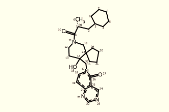 C[C@H](CC1CCCCC1)C(=O)N1CCC(O)(Cn2ccc3ncncc3c2=O)C2(CCCC2)C1